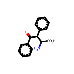 N[C@H](C(=O)O)C(C(=O)c1ccccc1)c1ccccc1